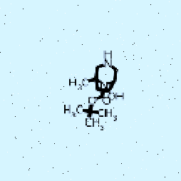 CC(C)(C)OC(=O)N1C2CNCC1(C)CC2O